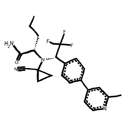 CCC[C@@H](C(N)=O)N([C@@H](c1ccc(-c2ccnc(C)c2)cc1)C(F)(F)F)C1(C#N)CC1